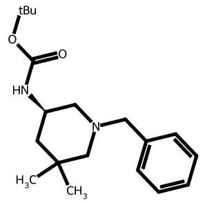 CC1(C)C[C@@H](NC(=O)OC(C)(C)C)CN(Cc2ccccc2)C1